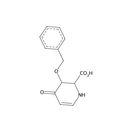 O=C(O)C1NC=CC(=O)C1OCc1ccccc1